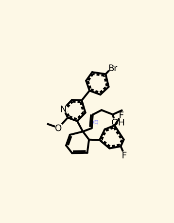 COc1ncc(-c2ccc(Br)cc2)cc1C1(/C=C/CC(C)O)C=CC=CC1c1cc(F)cc(F)c1